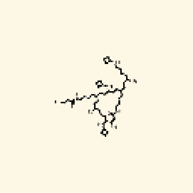 CCCC(CCCCNC1CCC1)CCC(CCCCNC(=O)CCS)CCC(CCC(CCCCNC(=O)CCS)CCC(CC)CCCCNC1CCC1)NC1CCC1